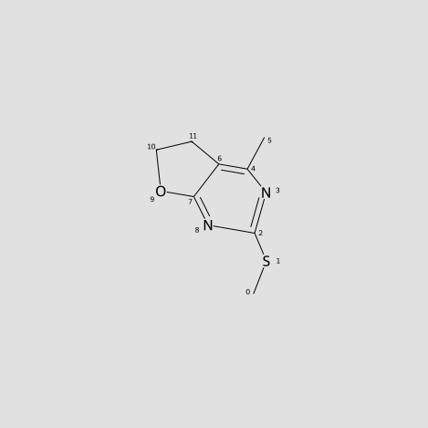 CSc1nc(C)c2c(n1)OCC2